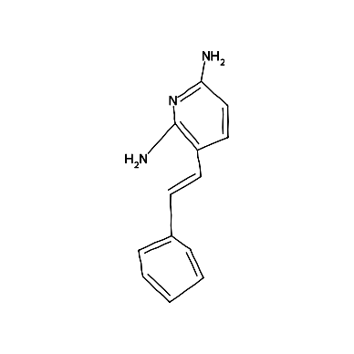 Nc1ccc(/C=C/c2ccccc2)c(N)n1